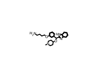 CN1CCC(OC(c2cccc(OCCCCN)c2)c2nc3ccccc3[nH]2)CC1